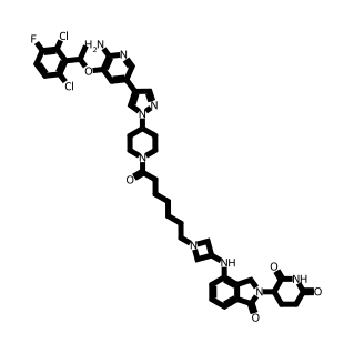 CC(Oc1cc(-c2cnn(C3CCN(C(=O)CCCCCCN4CC(Nc5cccc6c5CN(C5CCC(=O)NC5=O)C6=O)C4)CC3)c2)cnc1N)c1c(Cl)ccc(F)c1Cl